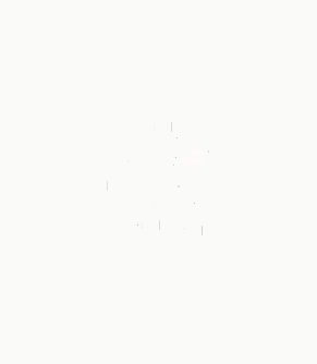 C=C(C)C(=O)[C](CC)C(C)C